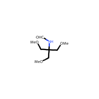 COCC(COC)(COC)N[C]=O